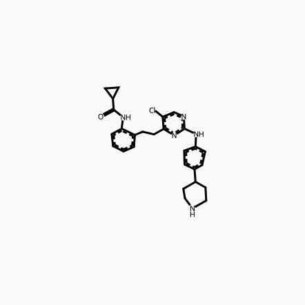 O=C(Nc1ccccc1CCc1nc(Nc2ccc(C3CCNCC3)cc2)ncc1Cl)C1CC1